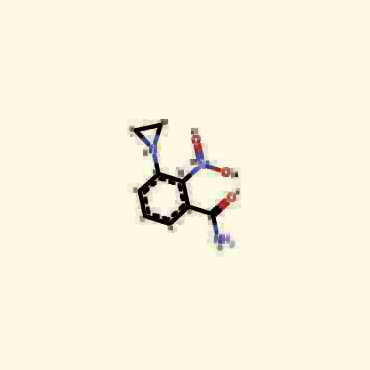 NC(=O)c1cccc(N2CC2)c1[N+](=O)[O-]